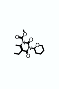 CCc1c(C)n(C(=O)OC)c(=O)n(C2CCCCO2)c1=O